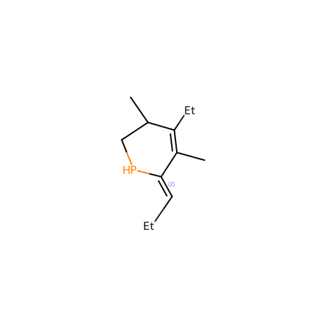 CC/C=C1\PCC(C)C(CC)=C1C